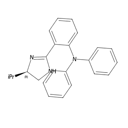 CC(C)[C@@H]1CNC(c2ccccc2N(c2ccccc2)c2ccccc2)=N1